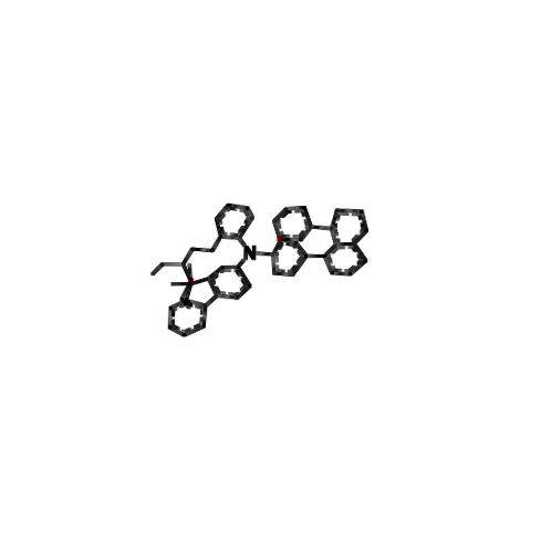 C=CCC(CC)CCc1ccccc1N(c1ccc(-c2cccc3cccc(-c4ccccc4)c23)cc1)c1ccc2c(c1)C(C)(C)c1ccccc1-2